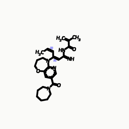 C=C(C)C(=O)NC(=N)/C=C(\C=C/C)N1CCCOc2cc(C(=O)N3CCCCCC3)cnc21